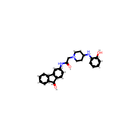 O=C(CN1CCC(Nc2ccccc2O)CC1)Nc1ccc2c(c1)-c1ccccc1C2=O